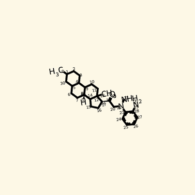 CC1CCC2C(CC[C@@H]3C2CCC2(C)C3CC[C@@H]2C(=O)CN(N)c2ccccc2N)C1